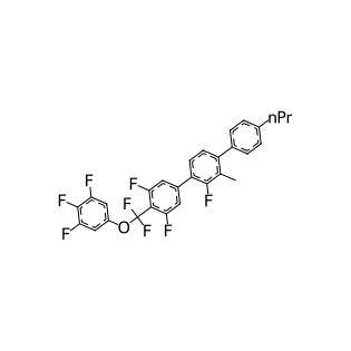 CCCc1ccc(-c2ccc(-c3cc(F)c(C(F)(F)Oc4cc(F)c(F)c(F)c4)c(F)c3)c(F)c2C)cc1